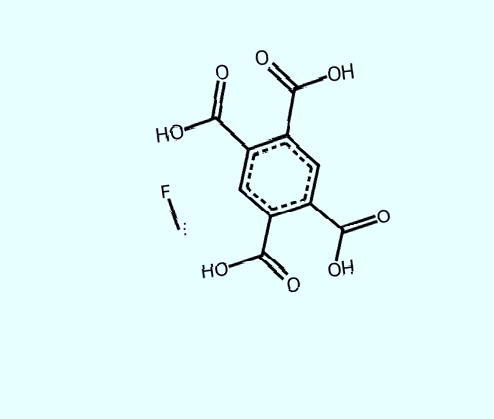 O=C(O)c1cc(C(=O)O)c(C(=O)O)cc1C(=O)O.[C]F